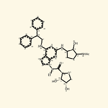 CCN(C(=O)[C@H]1OC[C@H](O)[C@@H]1O)n1cnc2c(NCC(c3ccccc3)c3ccccc3)nc(NC3CCC(NC(C)=O)C3O)nc21